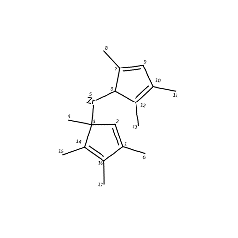 CC1=C[C](C)([Zr][CH]2C(C)=CC(C)=C2C)C(C)=C1C